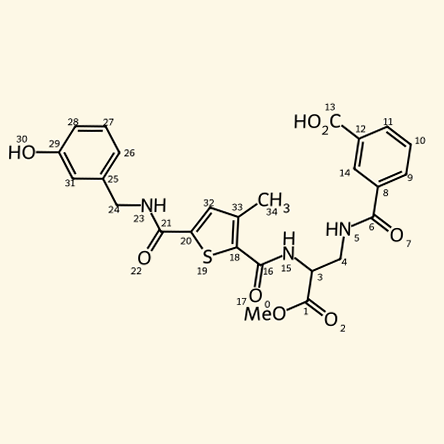 COC(=O)C(CNC(=O)c1cccc(C(=O)O)c1)NC(=O)c1sc(C(=O)NCc2cccc(O)c2)cc1C